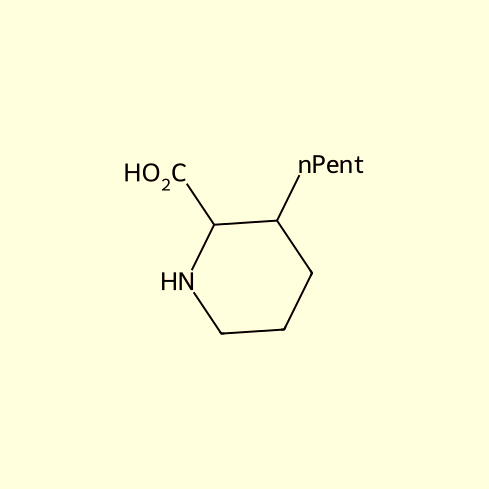 CCCCCC1CCCNC1C(=O)O